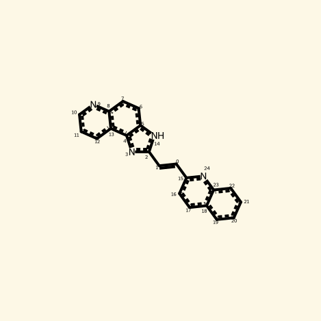 C(=C\c1nc2c(ccc3ncccc32)[nH]1)/c1ccc2ccccc2n1